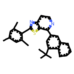 Cc1cc(C)c(-c2nc3ccnc(-c4cc(C(C)(C)C)c5ccccc5c4)c3s2)c(C)c1